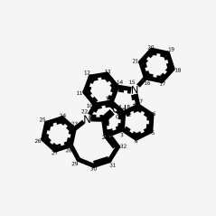 C=c1/c2c3cccc4c3c3c(cccc3n4-c3ccccc3)n1-c1ccccc1C/C=C\C=2